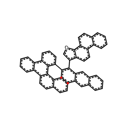 c1ccc2cc3c(-c4coc5c4ccc4c6ccccc6ccc45)c(-c4cccc5c6ccccc6c6ccc7ccccc7c6c45)ccc3cc2c1